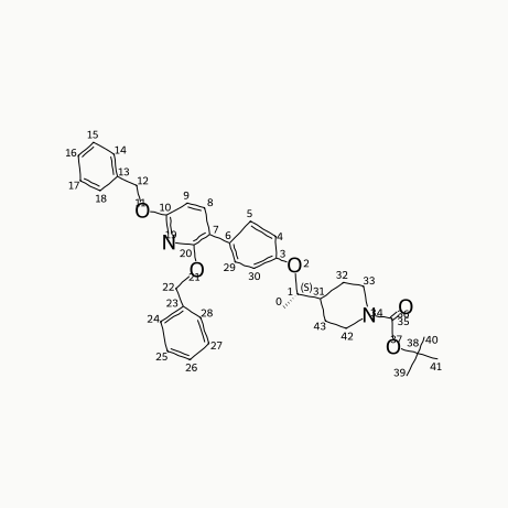 C[C@H](Oc1ccc(-c2ccc(OCc3ccccc3)nc2OCc2ccccc2)cc1)C1CCN(C(=O)OC(C)(C)C)CC1